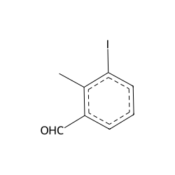 Cc1c(I)cccc1C=O